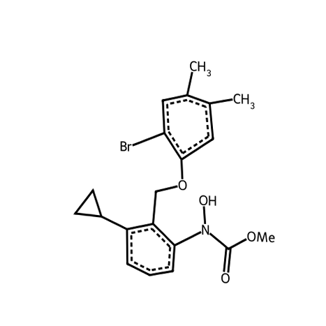 COC(=O)N(O)c1cccc(C2CC2)c1COc1cc(C)c(C)cc1Br